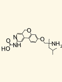 CC(C)CC(C)(N)COc1ccc2c(c1)OCc1cnc(NC(=O)O)cc1-2